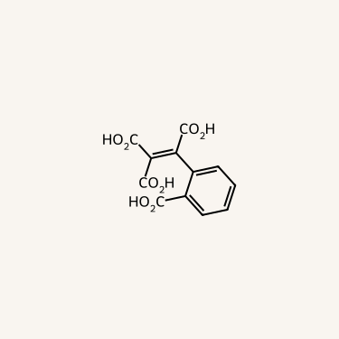 O=C(O)C(C(=O)O)=C(C(=O)O)c1ccccc1C(=O)O